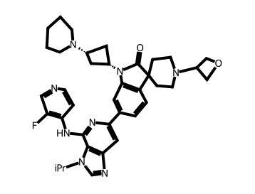 CC(C)n1cnc2cc(-c3ccc4c(c3)N([C@H]3C[C@@H](N5CCCCC5)C3)C(=O)C43CCN(C4COC4)CC3)nc(Nc3ccncc3F)c21